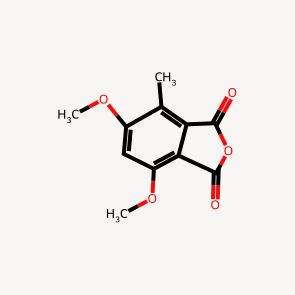 COc1cc(OC)c2c(c1C)C(=O)OC2=O